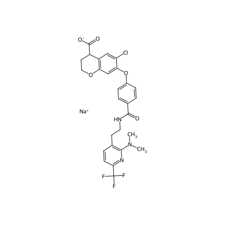 CN(C)c1nc(C(F)(F)F)ccc1CCNC(=O)c1ccc(Oc2cc3c(cc2Cl)C(C(=O)[O-])CCO3)cc1.[Na+]